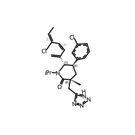 C=C(/C=C\C(Cl)=C/C)[C@@H]1[C@@H](c2cccc(Cl)c2)C[C@](C)(Cc2nnn[nH]2)C(=O)N1C(C)C